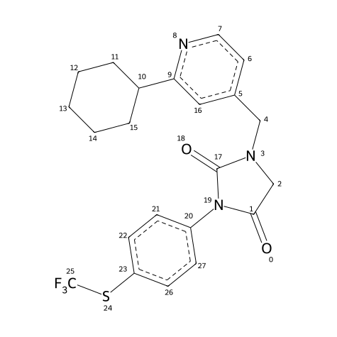 O=C1CN(Cc2ccnc(C3CCCCC3)c2)C(=O)N1c1ccc(SC(F)(F)F)cc1